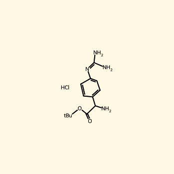 CC(C)(C)OC(=O)C(N)c1ccc(N=C(N)N)cc1.Cl